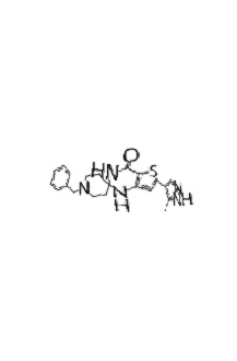 Cc1[nH]ncc1-c1cc2c(s1)C(=O)NC1(CCN(Cc3ccccc3)CC1)N2